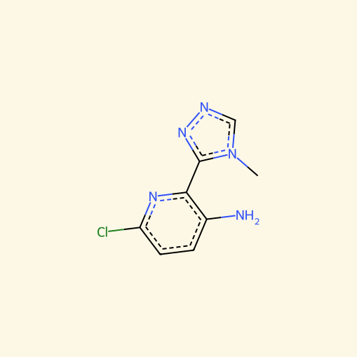 Cn1cnnc1-c1nc(Cl)ccc1N